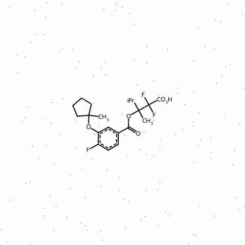 CC(C)C(C)(OC(=O)c1ccc(F)c(OC2(C)CCCC2)c1)C(F)(F)C(=O)O